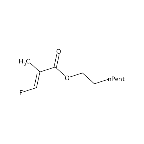 CCCCCCCOC(=O)C(C)=CF